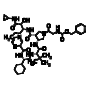 CCCC(NC(=O)[C@@H]1CN(C(=O)CNC(=O)OCc2ccccc2)C[C@@H]1NC(=O)[C@@H](NC(=O)[C@@H](NC(=O)c1cnccn1)C1CCCCC1)C(C)(C)C)C(O)C(=O)NC1CC1